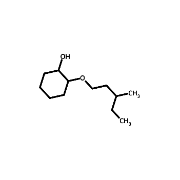 CCC(C)CCOC1CCCCC1O